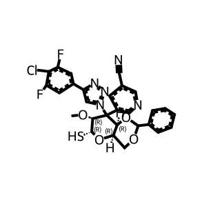 CO[C@H]1[C@@H](S)O[C@@H]2COC(c3ccccc3)O[C@@H]2C1(c1cncc(C#N)c1)n1cc(-c2cc(F)c(Cl)c(F)c2)nn1